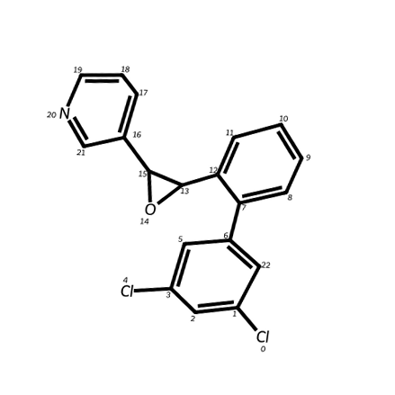 Clc1cc(Cl)cc(-c2ccccc2C2OC2c2cccnc2)c1